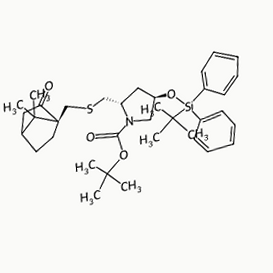 CC(C)(C)OC(=O)N1C[C@H](O[Si](c2ccccc2)(c2ccccc2)C(C)(C)C)C[C@H]1CSC[C@]12CCC(CC1=O)C2(C)C